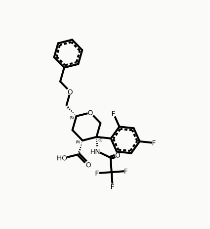 O=C(O)[C@@H]1C[C@H](COCc2ccccc2)OC[C@@]1(NC(=O)C(F)(F)F)c1ccc(F)cc1F